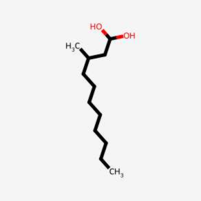 CCCCCCCCC(C)CC(O)O